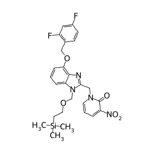 C[Si](C)(C)CCOCn1c(Cn2cccc([N+](=O)[O-])c2=O)nc2c(OCc3ccc(F)cc3F)cccc21